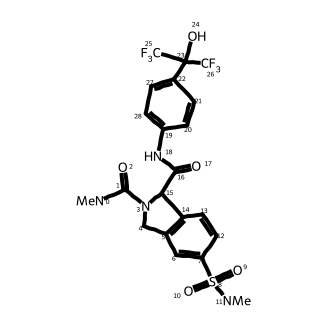 CNC(=O)N1Cc2cc(S(=O)(=O)NC)ccc2C1C(=O)Nc1ccc(C(O)(C(F)(F)F)C(F)(F)F)cc1